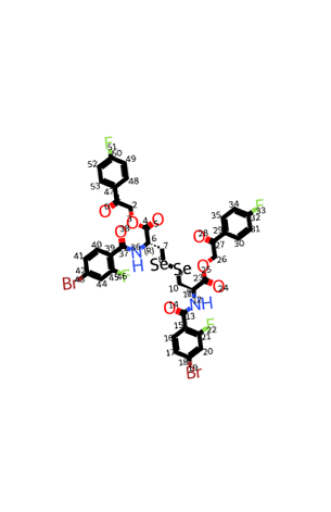 O=C(COC(=O)[C@H](C[Se][Se]C[C@H](NC(=O)c1ccc(Br)cc1F)C(=O)OCC(=O)c1ccc(F)cc1)NC(=O)c1ccc(Br)cc1F)c1ccc(F)cc1